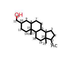 CC(=O)C1CCC2C3CCC4CC(CO)CCC4(C)C3CCC12C